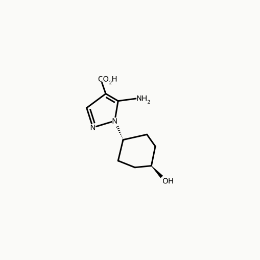 Nc1c(C(=O)O)cnn1[C@H]1CC[C@H](O)CC1